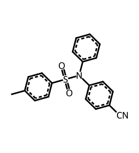 Cc1ccc(S(=O)(=O)N(c2ccccc2)c2ccc(C#N)cc2)cc1